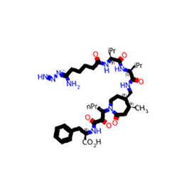 CCCC(C(=O)C(=O)N[C@H](Cc1ccccc1)C(=O)O)N1CC[C@@H](CNC(=O)[C@@H](NC(=O)[C@H](NC(=O)CCCC/C(N)=N/N=N)C(C)C)C(C)C)[C@H](C)CC1=O